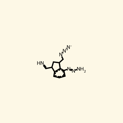 [N-]=[N+]=NCC1CC(C=N)c2cccc(N=NN)c21